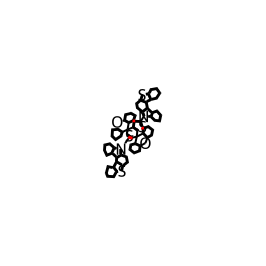 c1ccc2c(c1)Oc1ccccc1C21c2cc(-n3c4ccccc4c4c5c(ccc43)sc3ccccc35)sc2C2(c3ccccc3Oc3ccccc32)c2cc(-n3c4ccccc4c4c5c(ccc43)sc3ccccc35)sc21